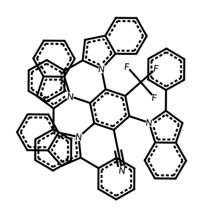 N#Cc1c(-n2c(-c3ccccc3)cc3ccccc32)c(-n2c(-c3ccccc3)cc3ccccc32)c(-n2c(-c3ccccc3)cc3ccccc32)c(C(F)(F)F)c1-n1c(-c2ccccc2)cc2ccccc21